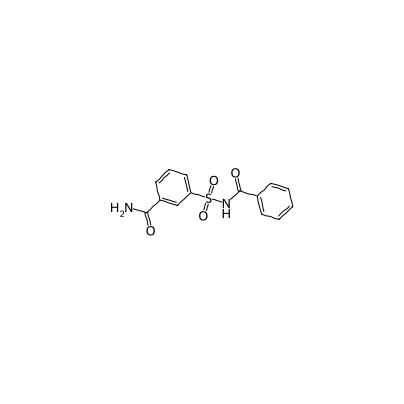 NC(=O)c1cccc(S(=O)(=O)NC(=O)c2ccccc2)c1